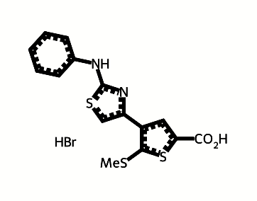 Br.CSc1sc(C(=O)O)cc1-c1csc(Nc2ccccc2)n1